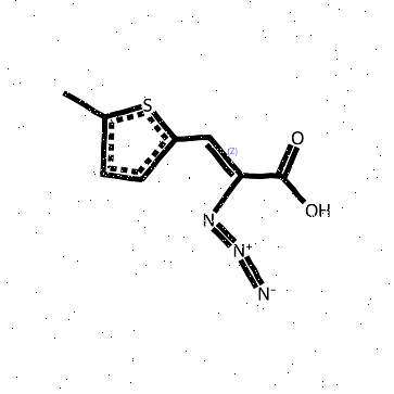 Cc1ccc(/C=C(\N=[N+]=[N-])C(=O)O)s1